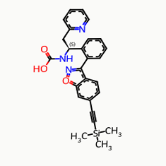 C[Si](C)(C)C#Cc1ccc2c(-c3ccccc3[C@H](Cc3ccccn3)NC(=O)O)noc2c1